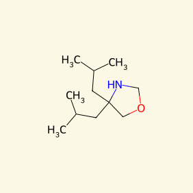 CC(C)CC1(CC(C)C)COCN1